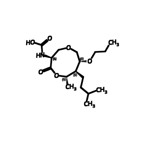 CCCO[C@H]1COC[C@H](NC(=O)O)C(=O)O[C@@H](C)[C@@H]1CCC(C)C